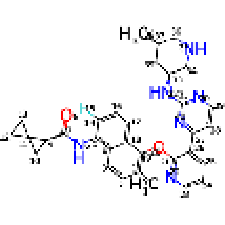 Cc1ccc2c(NC(=O)[C@H]3CC34CC4)c(F)ccc2c1Oc1ncccc1-c1ccnc(N[C@@H]2CNC[C@H](C)C2)n1